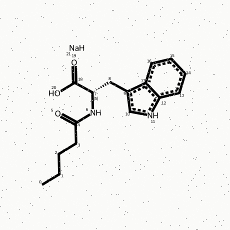 CCCCC(=O)N[C@@H](Cc1c[nH]c2ccccc12)C(=O)O.[NaH]